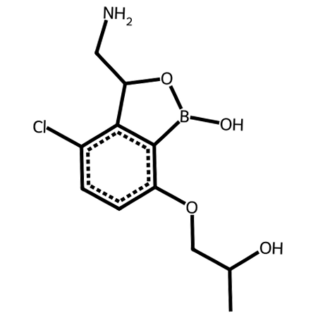 CC(O)COc1ccc(Cl)c2c1B(O)OC2CN